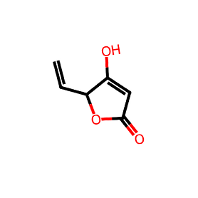 C=CC1OC(=O)C=C1O